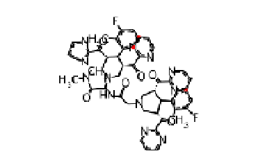 Cc1c(F)cccc1C1[C@@H](C(=O)c2ncccn2)CN(CC(=O)NC(C(=O)N(C)C)N2C[C@H](C(=O)c3ncccn3)C(c3cccc(F)c3C)[C@H](C(=O)c3ncccn3)C2)C[C@H]1C(=O)c1ncccn1